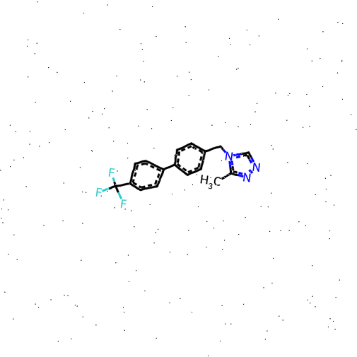 Cc1nncn1Cc1ccc(-c2ccc(C(F)(F)F)cc2)cc1